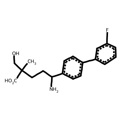 CC(CO)(CCC(N)c1ccc(-c2cccc(F)c2)cc1)C(=O)O